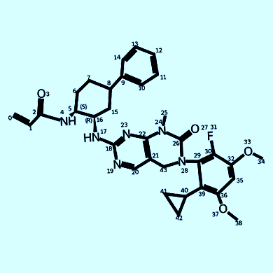 C=CC(=O)N[C@H]1CCC(c2ccccc2)C[C@H]1Nc1ncc2c(n1)N(C)C(=O)N(c1c(F)c(OC)cc(OC)c1C1CC1)C2